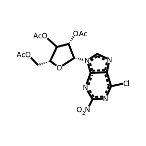 CC(=O)OC[C@H]1O[C@@H](n2cnc3c(Cl)nc([N+](=O)[O-])nc32)[C@@H](OC(C)=O)C1OC(C)=O